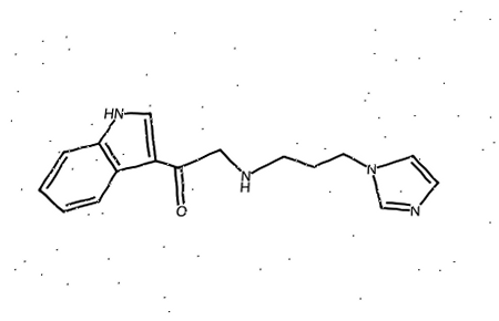 O=C(CNCCCn1ccnc1)c1c[nH]c2[c]cccc12